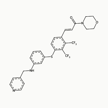 O=C(C=Cc1ccc(Sc2cccc(NCc3ccncc3)c2)c(C(F)(F)F)c1C(F)(F)F)N1CCOCC1